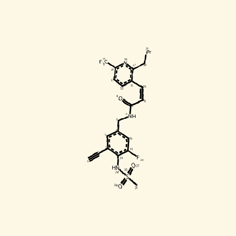 C#Cc1cc(CNC(=O)/C=C\c2ccc(C(F)(F)F)nc2CC(C)C)cc(F)c1NS(C)(=O)=O